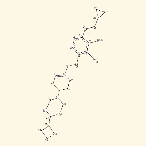 Fc1c(OCC2=CCC(C3CCC(C4CCC4)CC3)CC2)ccc(OCC2CC2)c1F